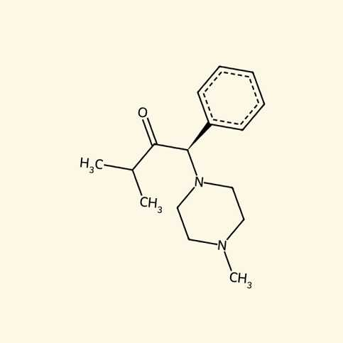 CC(C)C(=O)[C@@H](c1ccccc1)N1CCN(C)CC1